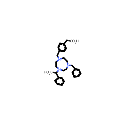 O=C(O)Cc1ccc(CN2CCN(Cc3ccccc3)CCN(C(C(=O)O)c3ccccc3)CC2)cc1